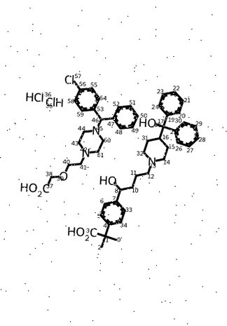 CC(C)(C(=O)O)c1ccc(C(O)CCCN2CCC(C(O)(c3ccccc3)c3ccccc3)CC2)cc1.Cl.Cl.O=C(O)COCCN1CCN(C(c2ccccc2)c2ccc(Cl)cc2)CC1